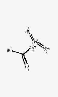 CCCC(=O)C(C)CC.N=[N+]=N